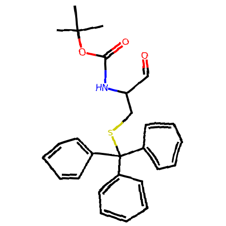 CC(C)(C)OC(=O)NC(C=O)CSC(c1ccccc1)(c1ccccc1)c1ccccc1